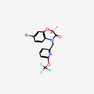 C[C@H]1Oc2cc(Br)ccc2N(Cc2cccc(OC(F)(F)F)n2)C1=O